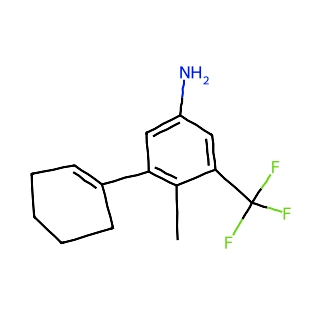 Cc1c(C2=CCCCC2)cc(N)cc1C(F)(F)F